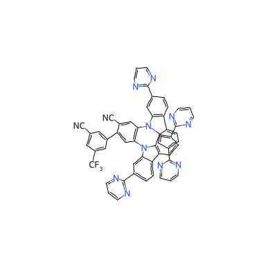 N#Cc1cc(-c2cc(-n3c4cc(-c5ncccn5)ccc4c4ccc(-c5ncccn5)cc43)c(-n3c4cc(-c5ncccn5)ccc4c4ccc(-c5ncccn5)cc43)cc2C#N)cc(C(F)(F)F)c1